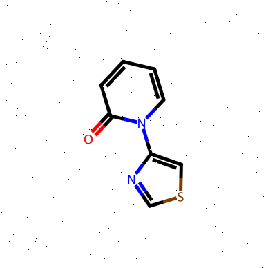 O=c1ccccn1-c1cscn1